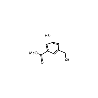 Br.COC(=O)c1cccc([CH2][Zn])c1